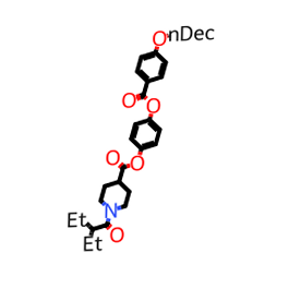 CCCCCCCCCCOc1ccc(C(=O)Oc2ccc(OC(=O)C3CCN(C(=O)C(CC)CC)CC3)cc2)cc1